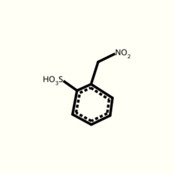 O=[N+]([O-])Cc1ccccc1S(=O)(=O)O